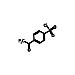 O=C(c1ccc(S(=O)(=O)Cl)cc1)C(F)(F)F